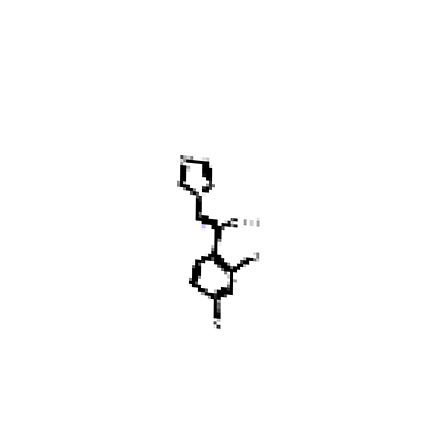 Cl.Cl/C(=C\n1cncn1)c1ccc(Cl)cc1Cl